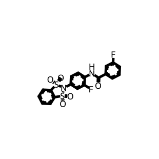 O=C(Nc1ccc(N2S(=O)(=O)c3ccccc3S2(=O)=O)cc1F)c1cccc(F)c1